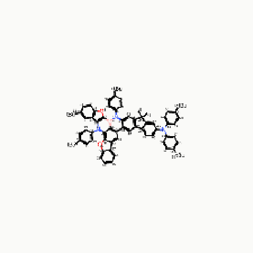 CC(C)(C)c1ccc(N2B3c4oc5ccc(C(C)(C)C)cc5c4N(c4ccc(C(C)(C)C)cc4)c4c3c(cc3c4oc4ccccc43)-c3cc4c(cc32)C(C)(C)c2cc(N(c3ccc(C(C)(C)C)cc3)c3ccc(C(C)(C)C)cc3)ccc2-4)cc1